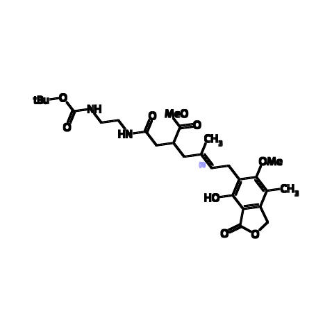 COC(=O)C(CC(=O)NCCNC(=O)OC(C)(C)C)C/C(C)=C/Cc1c(O)c2c(c(C)c1OC)COC2=O